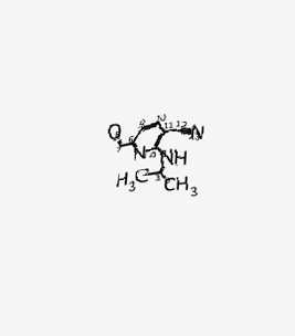 CC(C)Nc1nc(C=O)ccc1C#N